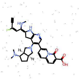 C#C/C(F)=C\C(NC)=C1/Cc2c(ncc(-c3ccc4ccc(C(=O)O)c(=O)n4c3)c2N2C[C@H]3CC[C@@H](N(C)C)[C@H]3C2)N1